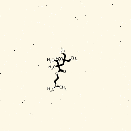 CCC(C)(CC)CC(C)(C(=O)OCCN(C)C)C(C)C